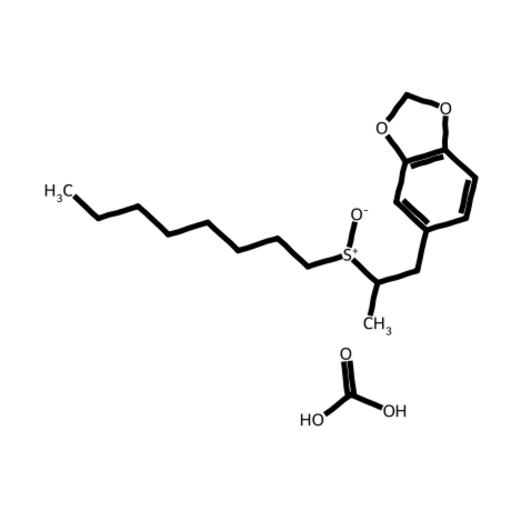 CCCCCCCC[S+]([O-])C(C)Cc1ccc2c(c1)OCO2.O=C(O)O